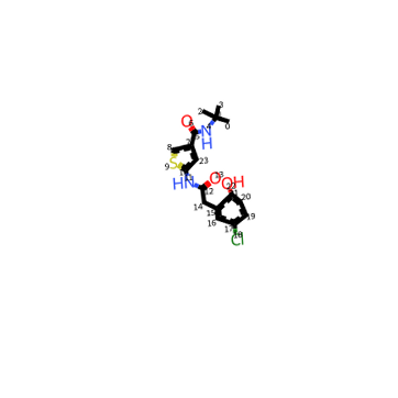 CC(C)(C)NC(=O)c1csc(NC(=O)Cc2cc(Cl)ccc2O)c1